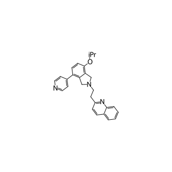 CC(C)Oc1ccc(-c2ccncc2)c2c1CN(CCc1ccc3ccccc3n1)C2